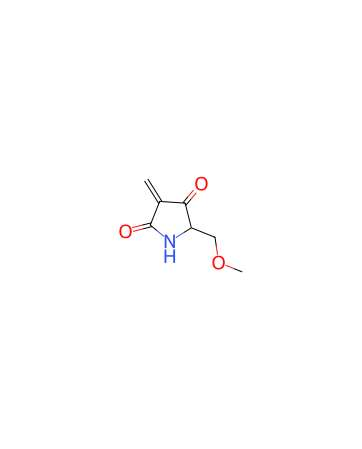 C=C1C(=O)NC(COC)C1=O